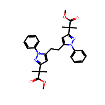 COC(=O)C(C)(C)c1cc(CCc2cc(C(C)(C)C(=O)OC)nn2-c2ccccc2)n(-c2ccccc2)n1